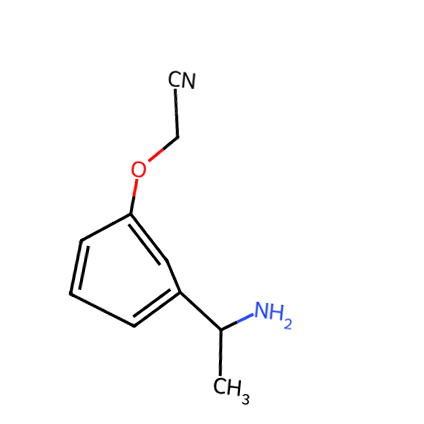 CC(N)c1cccc(OCC#N)c1